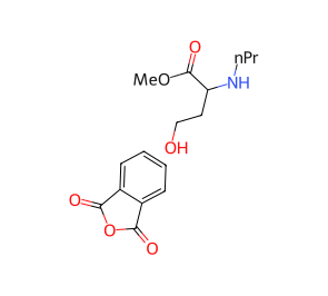 CCCNC(CCO)C(=O)OC.O=C1OC(=O)c2ccccc21